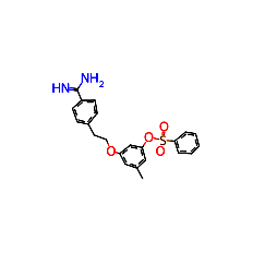 Cc1cc(OCCc2ccc(C(=N)N)cc2)cc(OS(=O)(=O)c2ccccc2)c1